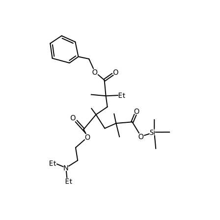 CCN(CC)CCOC(=O)C(C)(CC(C)(C)C(=O)O[Si](C)(C)C)CC(C)(CC)C(=O)OCc1ccccc1